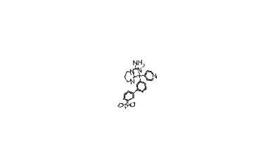 CS(=O)(=O)c1cccc(-c2cccc(C3(c4ccncc4)N=C(N)N4CCCN=C43)c2)c1